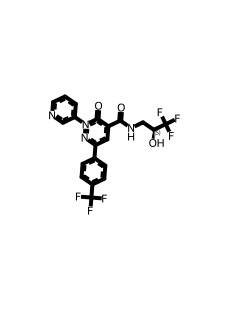 O=C(NC[C@H](O)C(F)(F)F)c1cc(-c2ccc(C(F)(F)F)cc2)nn(-c2cccnc2)c1=O